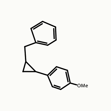 COc1ccc(C2CC2Cc2ccccc2)cc1